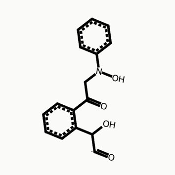 O=[C]C(O)c1ccccc1C(=O)CN(O)c1ccccc1